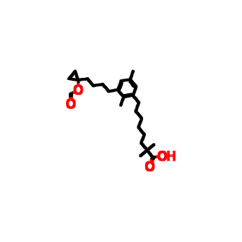 Cc1cc(CCCCCCC(C)(C)C(=O)O)c(C)c(CCCCC2(OC=O)CC2)c1